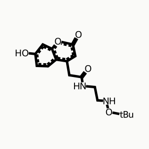 CC(C)(C)ONCCNC(=O)Cc1cc(=O)oc2cc(O)ccc12